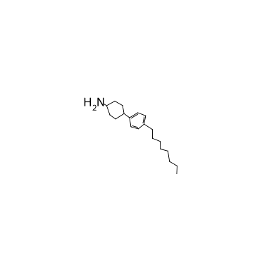 CCCCCCCCc1ccc(C2CCC(N)CC2)cc1